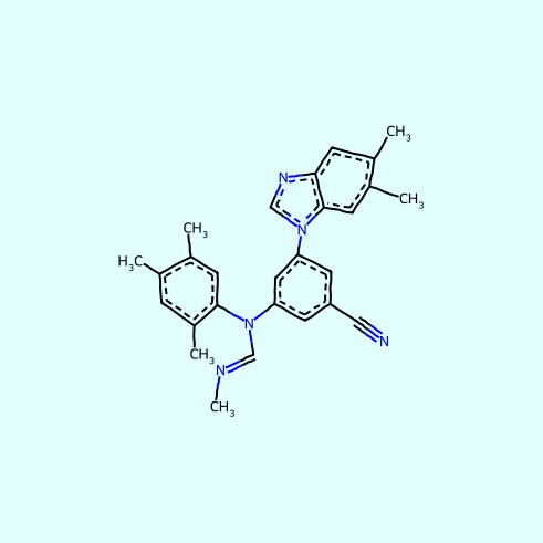 C/N=C/N(c1cc(C#N)cc(-n2cnc3cc(C)c(C)cc32)c1)c1cc(C)c(C)cc1C